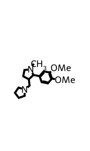 COc1ccc(C2C(CN3CCCC3)CCN2C)cc1OC